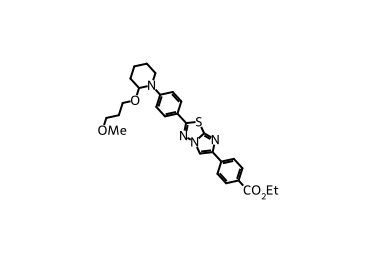 CCOC(=O)c1ccc(-c2cn3nc(-c4ccc(N5CCCCC5OCCCOC)cc4)sc3n2)cc1